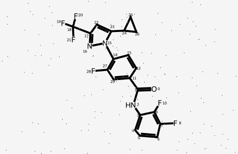 O=C(Nc1cccc(F)c1F)c1ccc(-n2nc(C(F)(F)F)cc2C2CC2)c(F)c1